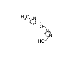 Cn1ccc(COCn2cnc(CO)c2)n1